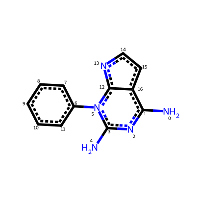 Nc1nc(N)n(-c2ccccc2)c2nccc1-2